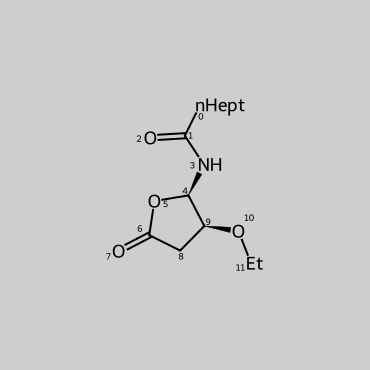 CCCCCCCC(=O)N[C@@H]1OC(=O)C[C@@H]1OCC